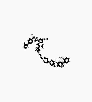 Cc1ncsc1-c1ccc([C@H](C)NC(=O)[C@@H]2C[C@@H](O)CN2C(=O)[C@@H](c2cc(OCCN3CCC(N4CCC5(CC4)CNc4nnc(-c6ccccc6O)cc4N5)CC3)no2)C(C)C)cc1